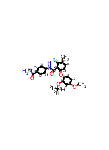 [2H]C([2H])([2H])Oc1cc(OC(F)(F)F)ccc1Oc1ccc(C(F)(F)F)c(F)c1C(=O)Nc1ccc(C(N)=O)cc1